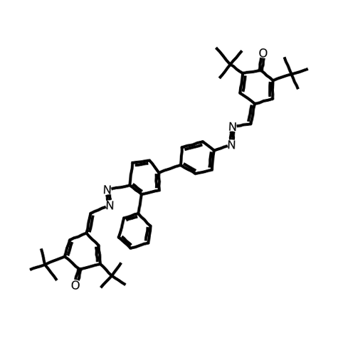 CC(C)(C)C1=CC(=C/N=N/c2ccc(-c3ccc(/N=N/C=C4C=C(C(C)(C)C)C(=O)C(C(C)(C)C)=C4)c(-c4ccccc4)c3)cc2)C=C(C(C)(C)C)C1=O